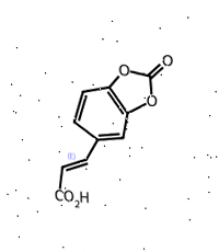 O=C(O)/C=C/c1ccc2oc(=O)oc2c1